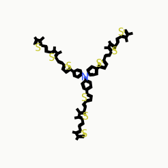 Cc1csc(/C=C/c2sc(/C=C/c3ccc(-c4ccc(N(c5ccc(-c6ccc(/C=C/c7sc(/C=C/c8scc(C)c8C)c(C)c7C)s6)cc5)c5ccc(-c6ccc(/C=C/c7sc(/C=C/c8scc(C)c8C)c(C)c7C)s6)cc5)cc4)s3)c(C)c2C)c1C